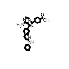 Nc1nccn2c(C3CCC(C(=O)O)CC3)nc(-c3ccc4ccc(Nc5ccccc5)nc4c3)c12